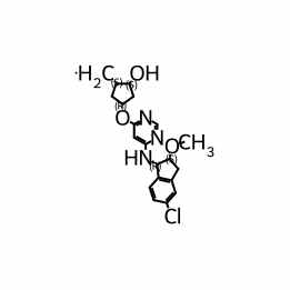 [CH2][C@H]1C[C@@H](Oc2cc(N[C@@H]3c4ccc(Cl)cc4C[C@@H]3OC)ncn2)C[C@@H]1O